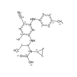 CCC(Nc1nc(Nc2ccc(C)cc2)c(C#N)cc1F)N(C(=O)O)C1CC1